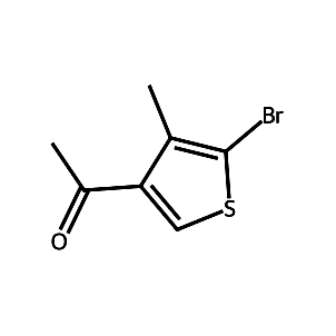 CC(=O)c1csc(Br)c1C